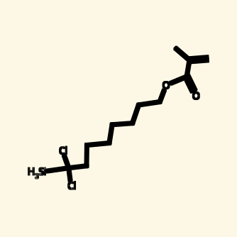 C=C(C)C(=O)OCCCCCCCC([SiH3])(Cl)Cl